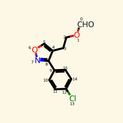 O=COCCc1conc1-c1ccc(Cl)cc1